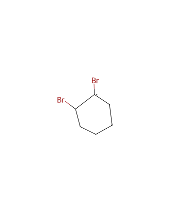 Br[C]1CCCCC1Br